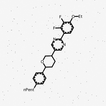 CCCCCc1ccc(C2CCC(c3cnc(-c4ccc(OCC)c(F)c4F)nc3)CO2)cc1